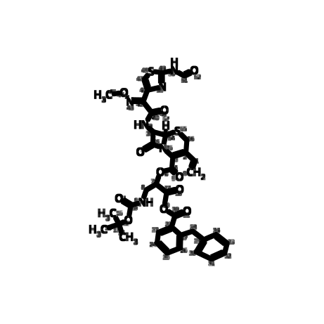 C=CC1=C(C(=O)OC(CNC(=O)OC(C)(C)C)C(=O)OC(=O)c2ccccc2Cc2ccccc2)N2C(=O)C(NC(=O)C(=NOC)c3csc(NC=O)n3)[C@@H]2SC1